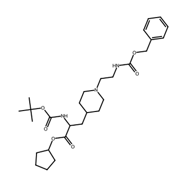 CC(C)(C)OC(=O)NC(CC1CCN(CCNC(=O)OCc2ccccc2)CC1)C(=O)OC1CCCC1